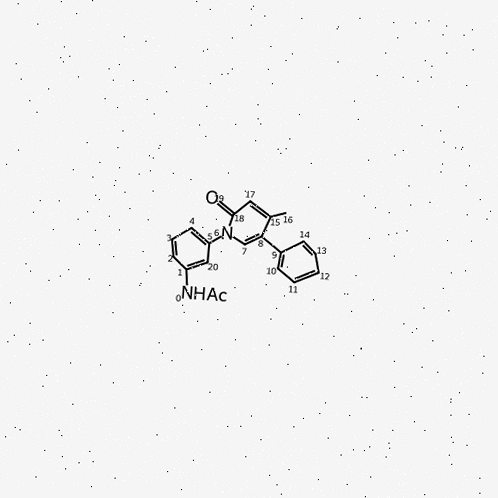 CC(=O)Nc1cccc(-n2cc(-c3ccccc3)c(C)cc2=O)c1